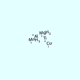 [AlH3].[Cu].[MgH2].[Mn].[Ti]